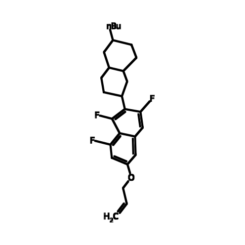 C=CCOc1cc(F)c2c(F)c(C3CCC4CC(CCCC)CCC4C3)c(F)cc2c1